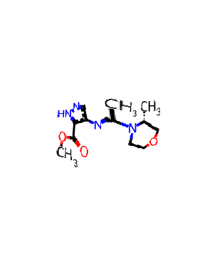 COC(=O)c1[nH]ncc1/N=C(\C)N1CCOC[C@H]1C